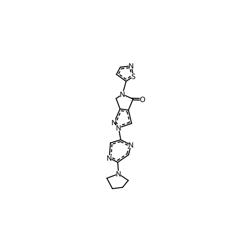 O=C1c2cn(-c3cnc(N4CCCC4)cn3)nc2CN1c1ccns1